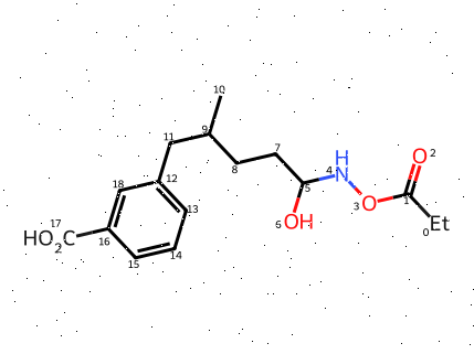 CCC(=O)ONC(O)CCC(C)Cc1cccc(C(=O)O)c1